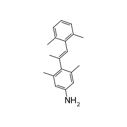 C/C(=C\c1c(C)cccc1C)c1c(C)cc(N)cc1C